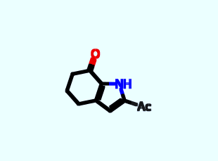 CC(=O)c1cc2c([nH]1)C(=O)CCC2